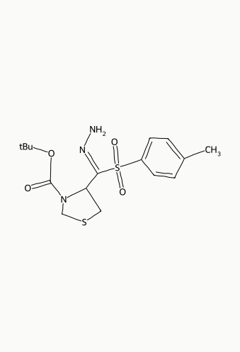 Cc1ccc(S(=O)(=O)C(=NN)C2CSCN2C(=O)OC(C)(C)C)cc1